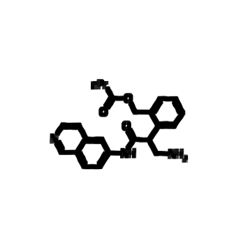 CCCC(=O)OCc1ccccc1C(CN)C(=O)Nc1ccc2cnccc2c1